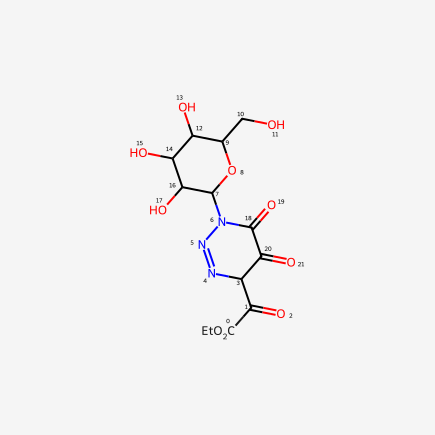 CCOC(=O)C(=O)C1N=NN(C2OC(CO)C(O)C(O)C2O)C(=O)C1=O